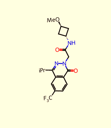 CO[C@H]1C[C@H](NC(=O)Cn2nc(C(C)C)c3cc(C(F)(F)F)ccc3c2=O)C1